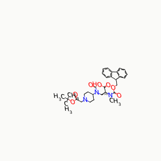 CN(C(=O)OCC1c2ccccc2-c2ccccc21)[C@@H](CN(C=O)C1CCN(CC(=O)OC(C)(C)C)CC1)C(=O)O